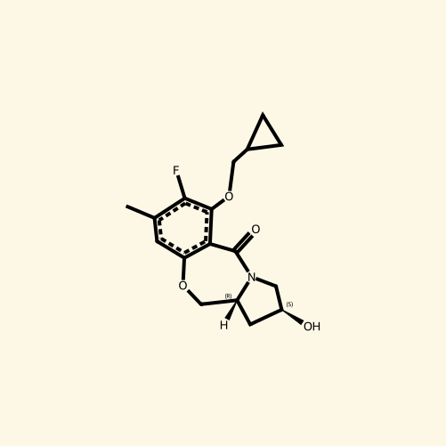 Cc1cc2c(c(OCC3CC3)c1F)C(=O)N1C[C@@H](O)C[C@@H]1CO2